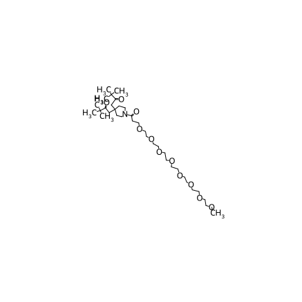 COCCOCCOCCOCCOCCOCCOCCOCCC(=O)N1CCC(CC(=O)C(C)(C)C)(CC(=O)C(C)(C)C)CC1